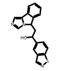 OC(CC1c2ccccc2-c2cncn21)c1ccc2sncc2c1